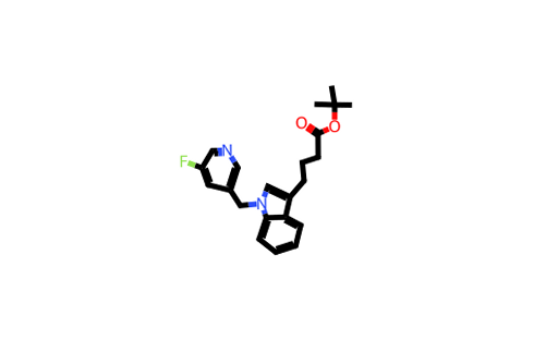 CC(C)(C)OC(=O)CCCc1cn(Cc2cncc(F)c2)c2ccccc12